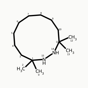 CC1(C)CCCCCCCCC(C)(C)NN1